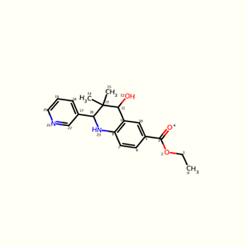 CCOC(=O)c1ccc2c(c1)C(O)C(C)(C)C(c1cccnc1)N2